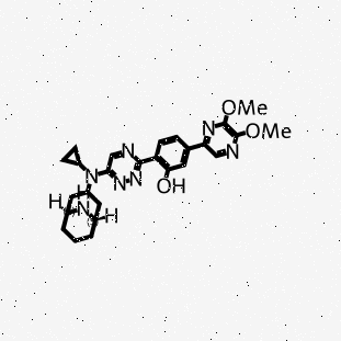 COc1ncc(-c2ccc(-c3ncc(N(C4CC4)C4C[C@@H]5CCC[C@@H](C4)N5)nn3)c(O)c2)nc1OC